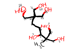 CC(CO)(CO)C(O)CCC(CO)(CO)CO